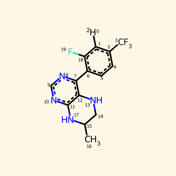 [2H]c1c(C(F)(F)F)ccc(-c2ncnc3c2NCC(C)N3)c1F